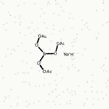 CC(=O)OOB(OOC(C)=O)OOC(C)=O.[H-].[Na+]